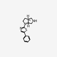 c1ccc(-c2cnc(N3CC[C@@H]4CNC[C@@H]43)s2)cc1